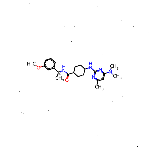 COc1cccc([C@H](C)NC(=O)C2CCC(Nc3nc(C)cc(N(C)C)n3)CC2)c1